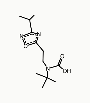 CC(C)c1noc(CCN(C(=O)O)C(C)(C)C)n1